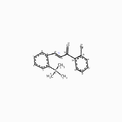 CS(C)(C)c1ccccc1/C=C/C(=O)c1ccccc1Br